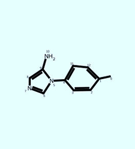 Cc1ccc(-n2cncc2N)cc1